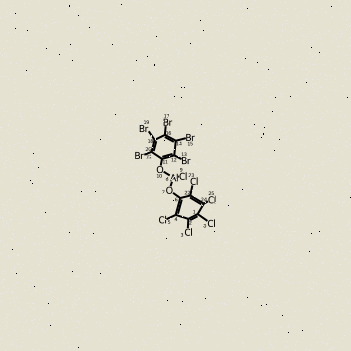 Clc1c(Cl)c(Cl)c([O][Al]([Cl])[O]c2c(Br)c(Br)c(Br)c(Br)c2Br)c(Cl)c1Cl